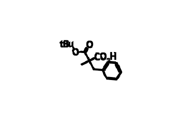 CC(C)(C)OC(=O)C(C)(Cc1ccccc1)C(=O)O